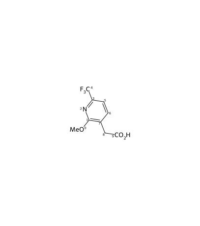 COc1nc(C(F)(F)F)ccc1CC(=O)O